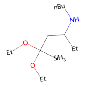 CCCCNC(CC)CC([SiH3])(OCC)OCC